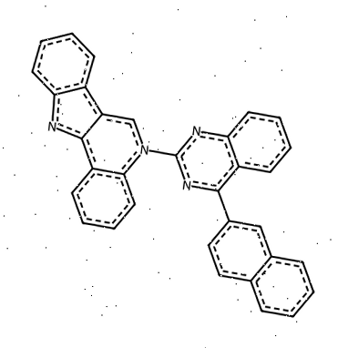 c1ccc2cc(-c3nc(-n4cc5c6ccccc6nc-5c5ccccc54)nc4ccccc34)ccc2c1